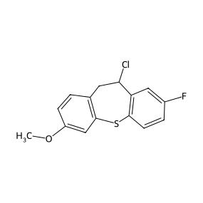 COc1ccc2c(c1)Sc1ccc(F)cc1C(Cl)C2